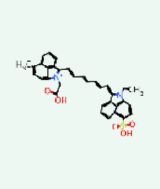 CCn1/c(=C/C=C/C=C/C=C/C2=[N+](CC(=O)O)c3ccc(C)c4cccc2c34)c2cccc3c(S(=O)(=O)O)ccc1c32